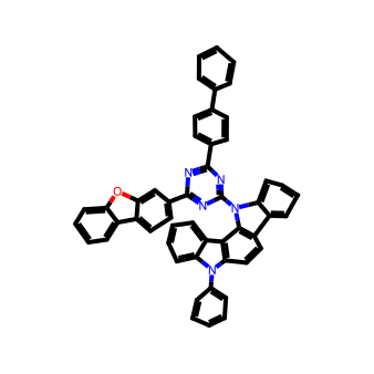 c1ccc(-c2ccc(-c3nc(-c4ccc5c(c4)oc4ccccc45)nc(-n4c5ccccc5c5ccc6c(c7ccccc7n6-c6ccccc6)c54)n3)cc2)cc1